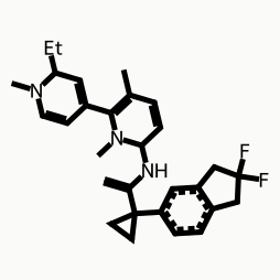 C=C(NC1C=CC(C)=C(C2=CC(CC)N(C)C=C2)N1C)C1(c2ccc3c(c2)CC(F)(F)C3)CC1